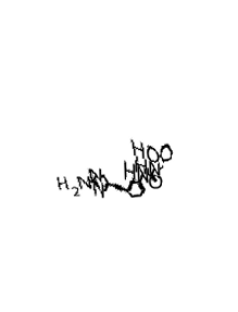 Nc1ncc(C#Cc2cccc(NC(=O)NC[C@@H]3CCCC[C@H]3O)c2)cn1